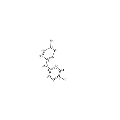 Cc1ccc(OC2=CCC(C)C=C2)cc1